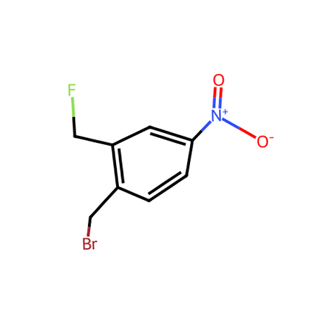 O=[N+]([O-])c1ccc(CBr)c(CF)c1